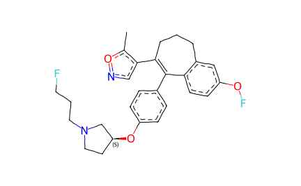 Cc1oncc1C1=C(c2ccc(O[C@H]3CCN(CCCF)C3)cc2)c2ccc(OF)cc2CCC1